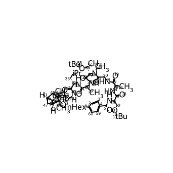 CCCCCCc1ccc(C(=O)N[C@H](COC(C)(C)C)C(=O)N[C@H](C)C(=O)NCC(=O)N(C)[C@H](C(=O)N[C@@H](C)C(=O)N[C@@H](CC(C)C)C(=O)NCB2O[C@]3(C)C[C@@H]4C[C@@H](C4(C)C)[C@]3(C)O2)C(C)OC(C)(C)C)cc1